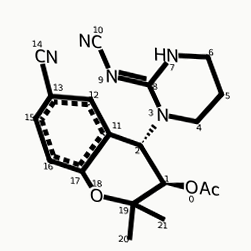 CC(=O)O[C@@H]1[C@@H](N2CCCNC2=NC#N)c2cc(C#N)ccc2OC1(C)C